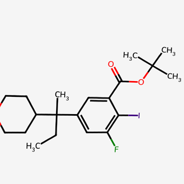 CCC(C)(c1cc(F)c(I)c(C(=O)OC(C)(C)C)c1)C1CCOCC1